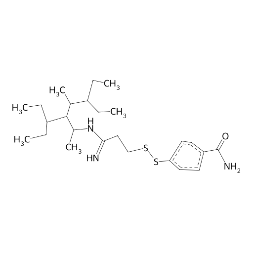 CCC(CC)C(C)C(C(CC)CC)C(C)NC(=N)CCSSc1ccc(C(N)=O)cc1